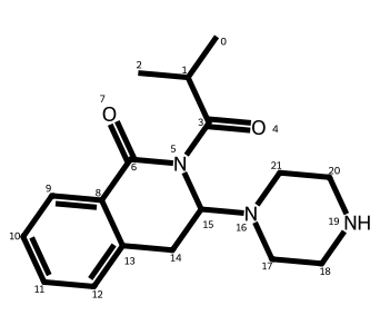 CC(C)C(=O)N1C(=O)c2ccccc2CC1N1CCNCC1